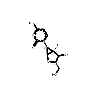 Nc1ccn([C@@H]2C3O[C@H](CO)C(O)[C@@]32F)c(=O)n1